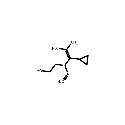 C=NN(CCO)C(=C(C)C)C1CC1